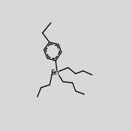 CCC[CH2][Sn]([CH2]CCC)([CH2]CCC)[c]1ccc(CC)cc1